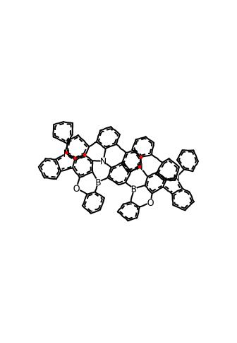 c1ccc(-c2ccccc2N2c3cc4c(cc3B3c5ccccc5Oc5c3c2cc2c5c3ccccc3n2-c2ccccc2)B2c3ccccc3Oc3c2c(cc2c3c3ccccc3n2-c2ccccc2)N4c2c(-c3ccccc3)cccc2-c2ccccc2)cc1